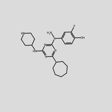 NN(c1ccc(O)c(F)c1)c1nc(NC2CCNCC2)nc(C2CCCCCC2)n1